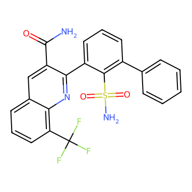 NC(=O)c1cc2cccc(C(F)(F)F)c2nc1-c1cccc(-c2ccccc2)c1S(N)(=O)=O